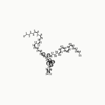 CCCCC/C=C\C/C=C\C/C=C\C/C=C\CCCCOC[C@H](COP(=O)([O-])OCC[N+](C)(C)C)OCCCC/C=C\C/C=C\C/C=C\C/C=C\CCCCC